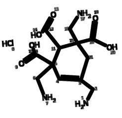 Cl.NCC1=CC(CN)(C(=O)O)C(C(=O)O)C(CN)(C(=O)O)C1